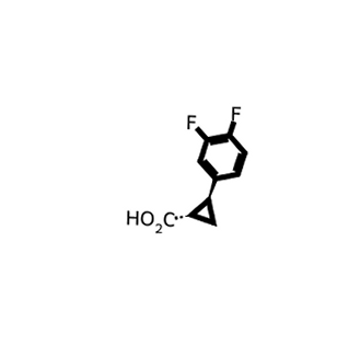 O=C(O)[C@H]1C[C@@H]1c1ccc(F)c(F)c1